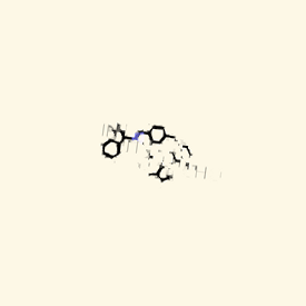 Cc1ccsc1OC(=O)Nc1cc(CN2CCN(C=O)CC2)ccc1/C=C/c1n[nH]c2ccccc12